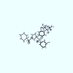 Cc1cccc(S(=O)(=O)C2(c3ccc(C(F)(C(F)(F)F)C(F)(F)F)cc3)CCN(C(=O)C3CCCCC3)C2)c1